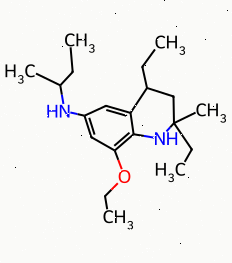 CCOc1cc(NC(C)CC)cc2c1NC(C)(CC)CC2CC